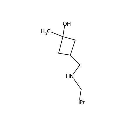 CC(C)CNCC1CC(C)(O)C1